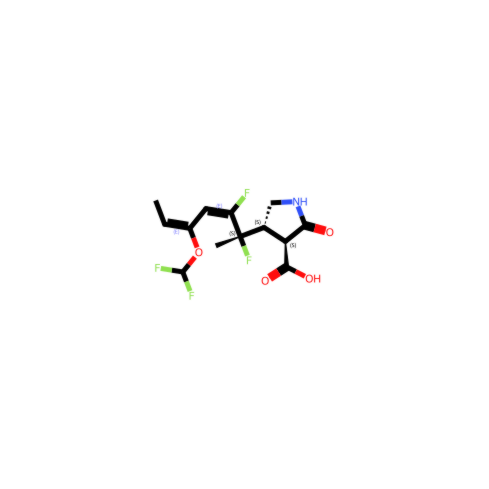 C/C=C(\C=C(\F)[C@@](C)(F)[C@@H]1CNC(=O)[C@H]1C(=O)O)OC(F)F